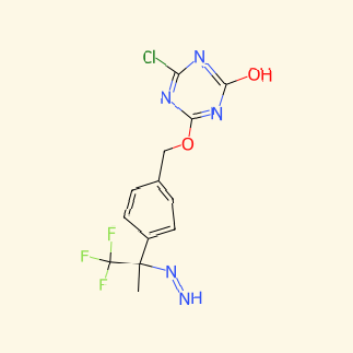 CC(N=N)(c1ccc(COc2nc(O)nc(Cl)n2)cc1)C(F)(F)F